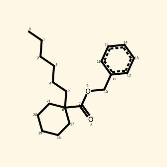 CCCCCCC1(C(=O)OCc2ccccc2)CCCCC1